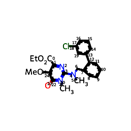 CCOC(=O)c1nc(N(C)Cc2ccccc2-c2cccc(Cl)c2)n(C)c(=O)c1OC